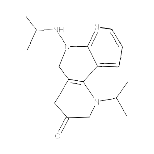 CC(C)NN1CC2=C(c3cccnc31)N(C(C)C)CC(=O)C2